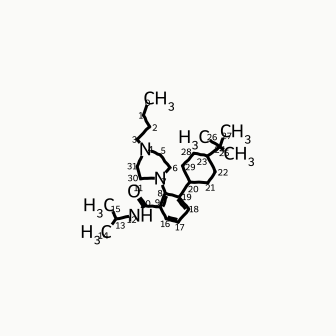 CCCCN1CCN(c2c(C(=O)NC(C)C)cccc2C2CCC(C(C)(C)C)CC2)CC1